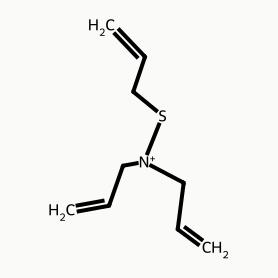 C=CCS[N+](CC=C)CC=C